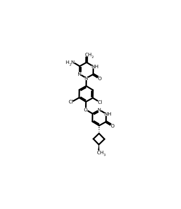 C=C1NC(=O)N(c2cc(Cl)c(Oc3cc([C@H]4C[C@H](C)C4)c(=O)[nH]n3)c(Cl)c2)N=C1N